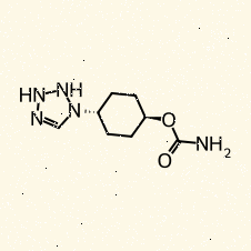 NC(=O)O[C@H]1CC[C@H](N2C=NNN2)CC1